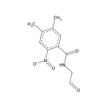 Cc1cc(C(=O)NCC=O)c([N+](=O)[O-])cc1C